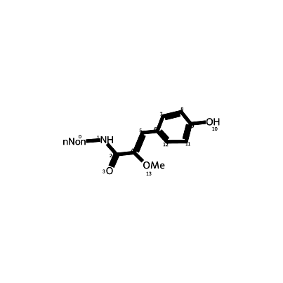 CCCCCCCCCNC(=O)/C(=C/c1ccc(O)cc1)OC